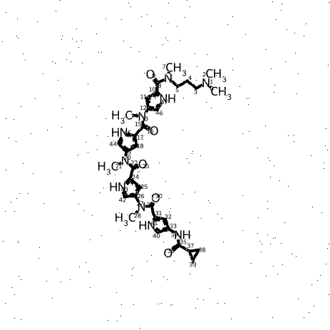 CN(C)CCCN(C)C(=O)c1cc(N(C)C(=O)c2cc(N(C)C(=O)c3cc(N(C)C(=O)c4cc(NC(=O)C5CC5)c[nH]4)c[nH]3)c[nH]2)c[nH]1